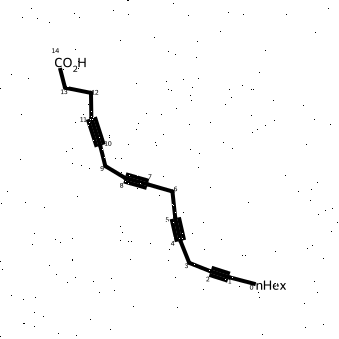 CCCCCCC#CCC#CCC#CCC#CCCC(=O)O